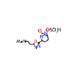 CNCCc1nnc(C2CCC3CN2C(=O)N3OS(=O)(=O)O)o1